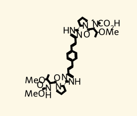 COC(=O)N[C@H](C(=O)N1CCC[C@H]1c1nc(/C=C/c2ccc(/C=C/c3c[nH]c([C@@H]4CCCN4C(=O)[C@H]([C@@H](C)OC)N(C)C(=O)O)n3)cc2)c[nH]1)C(C)OC